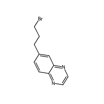 BrCCCc1ccc2nccnc2c1